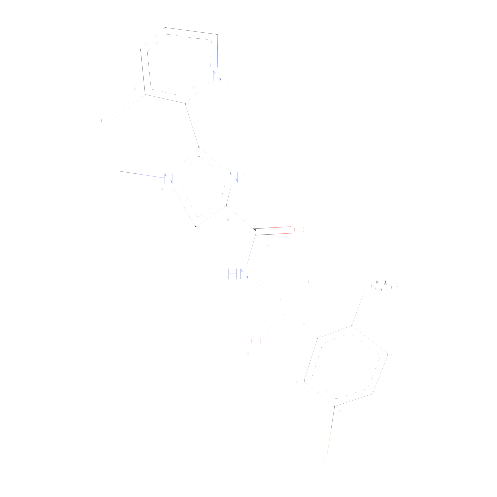 COc1ccc(F)cc1S(=O)(=O)NC(=O)c1cn(C)c(-c2ncccc2Cl)n1